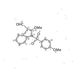 COc1ccc(S(=O)(=O)n2c(OC)c(C=O)c3ccccc32)cc1